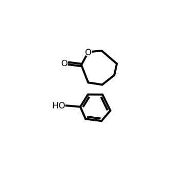 O=C1CCCCCO1.Oc1ccccc1